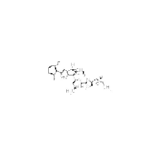 C=N/C=C(\N=C(/C)c1nc(CS(=O)(=O)CC)co1)[C@@]12CC[C@@H](c3cc(-c4c(F)cccc4F)nnc31)C2(C)C